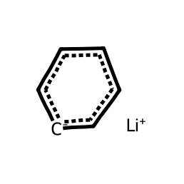 [Li+].[c-]1ccccc1